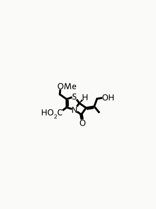 COCC1=C(C(=O)O)N2C(=O)/C(=C(\C)CO)[C@H]2S1